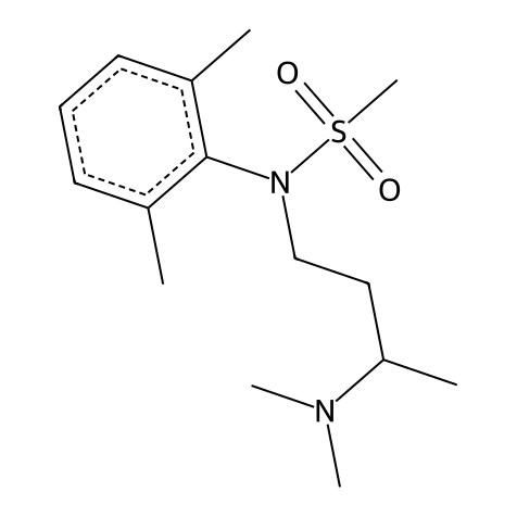 Cc1cccc(C)c1N(CCC(C)N(C)C)S(C)(=O)=O